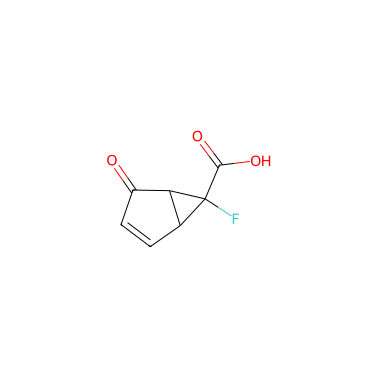 O=C1C=CC2C1C2(F)C(=O)O